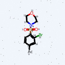 CC(=O)c1ccc(S(=O)(=O)N2CCOCC2)c(Br)c1